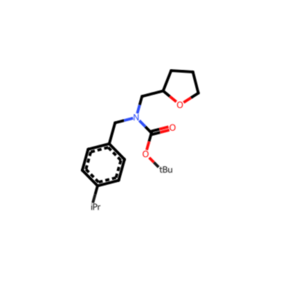 CC(C)c1ccc(CN(CC2CCCO2)C(=O)OC(C)(C)C)cc1